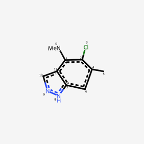 CNc1c(Cl)c(C)cc2[nH]ncc12